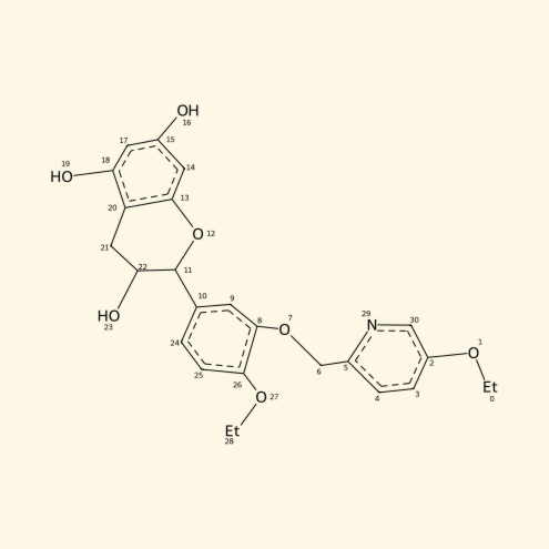 CCOc1ccc(COc2cc(C3Oc4cc(O)cc(O)c4CC3O)ccc2OCC)nc1